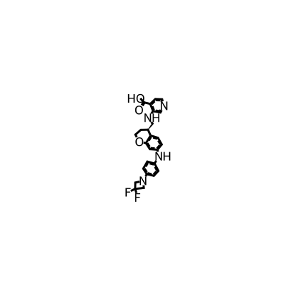 O=C(O)c1ccncc1NC[C@@H]1CCOc2cc(Nc3ccc(N4CC(F)(F)C4)cc3)ccc21